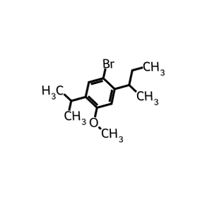 CCC(C)c1cc(OC)c(C(C)C)cc1Br